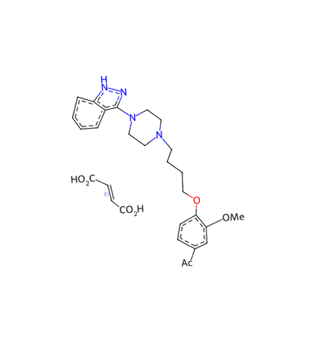 COc1cc(C(C)=O)ccc1OCCCCN1CCN(c2n[nH]c3ccccc23)CC1.O=C(O)/C=C/C(=O)O